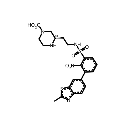 Cc1nc2ccc(-c3cccc(S(=O)(=O)NCC[C@@H]4CN(C(=O)O)CCN4)c3[N+](=O)[O-])cc2s1